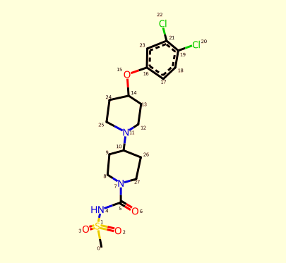 CS(=O)(=O)NC(=O)N1CCC(N2CCC(Oc3ccc(Cl)c(Cl)c3)CC2)CC1